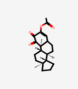 CC(=O)OC1=CC2CC[C@H]3[C@@H]4CCC[C@@]4(C)CC[C@@H]3[C@@]2(C)C(=O)C1=O